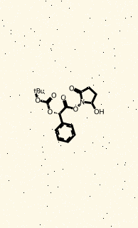 CC(C)(C)OC(=O)O[C@H](C(=O)ON1C(=O)CCC1O)c1ccccc1